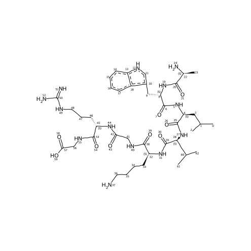 CC(C)C[C@H](NC(=O)[C@H](Cc1c[nH]c2ccccc12)NC(=O)[C@H](C)N)C(=O)N[C@H](C(=O)N[C@@H](CCCCN)C(=O)NCC(=O)N[C@@H](CCCNC(=N)N)C(=O)NCC(=O)O)C(C)C